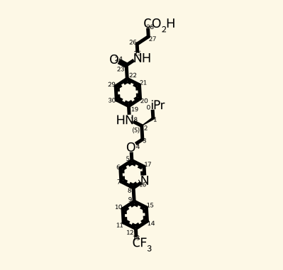 CC(C)C[C@@H](COc1ccc(-c2ccc(C(F)(F)F)cc2)nc1)Nc1ccc(C(=O)NCCC(=O)O)cc1